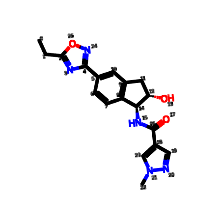 CCc1nc(-c2ccc3c(c2)C[C@H](O)[C@H]3NC(=O)c2cnn(C)c2)no1